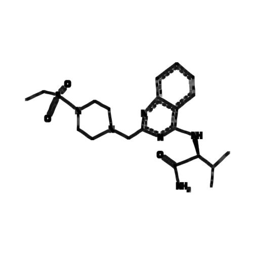 CCS(=O)(=O)N1CCN(Cc2nc(N[C@H](C(N)=O)C(C)C)c3ccccc3n2)CC1